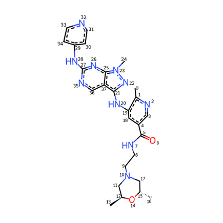 Cc1ncc(C(=O)NCCN2C[C@H](C)O[C@@H](C)C2)cc1Nc1nn(C)c2nc(Nc3ccncc3)ncc12